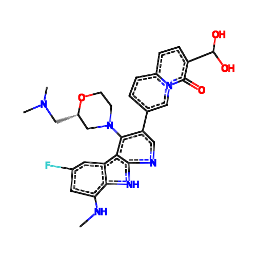 CNc1cc(F)cc2c1[nH]c1ncc(-c3ccc4ccc(C(O)O)c(=O)n4c3)c(N3CCO[C@@H](CN(C)C)C3)c12